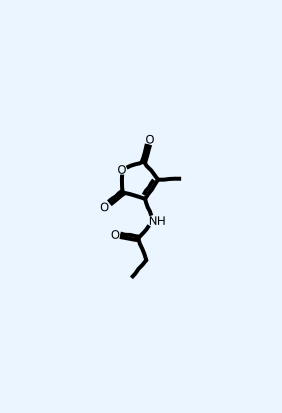 CCC(=O)NC1=C(C)C(=O)OC1=O